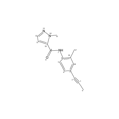 CC#Cc1ccc(NC(=O)c2ccnn2C)c(C)c1